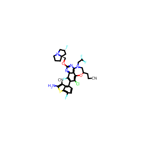 N#CCCC1CN(CC(F)F)c2nc(OC[C@@]34CCCN3C[C@H](F)C4)nc3c(F)c(-c4ccc(F)c5sc(N)c(C#N)c45)c(Cl)c(c23)O1